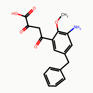 COc1c(N)cc(Cc2ccccc2)cc1C(=O)CC(=O)C(=O)O